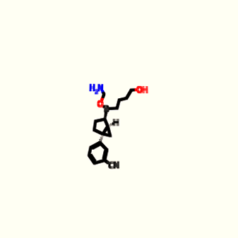 N#Cc1cccc([C@]23CC[C@@H](B(CCCCO)OCN)[C@H]2C3)c1